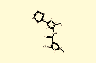 Cn1cc(C(=O)Nc2sc(-c3cccnc3)nc2Cl)c(C(F)(F)F)n1